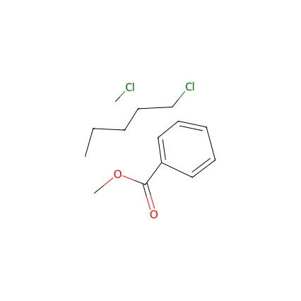 CCCCCCl.CCl.COC(=O)c1ccccc1